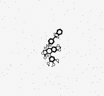 COc1cc([C@@H]2c3cc4c(cc3[C@@H](Nc3ccc(-c5nc6ccccc6s5)cc3)[C@H]3COC(=O)[C@H]23)OCO4)cc(OC)c1OC